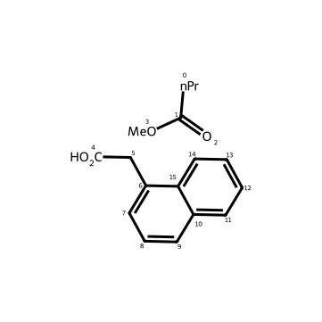 CCCC(=O)OC.O=C(O)Cc1cccc2ccccc12